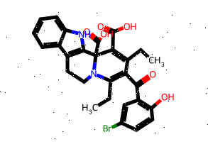 CCC1=C(C(=O)O)C2(C(=O)O)c3[nH]c4ccccc4c3CCN2C(CC)=C1C(=O)c1cc(Br)ccc1O